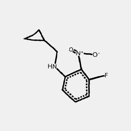 O=[N+]([O-])c1c(F)cccc1NCC1CC1